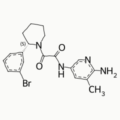 Cc1cc(NC(=O)C(=O)N2CCCC[C@H]2c2cccc(Br)c2)cnc1N